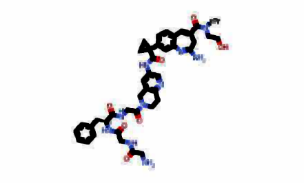 CCCN(CCO)C(=O)C1=Cc2ccc(C3(C(=O)Nc4cnc5c(c4)CN(C(=O)CNC(=O)[C@H](Cc4ccccc4)NC(=O)CNC(=O)CN)CC5)CC3)cc2N=C(N)C1